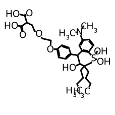 CCCCC1(CCCC)CS(O)(O)c2ccc(N(C)C)cc2C(c2ccc(OCCOCCC(C(=O)O)C(=O)O)cc2)C1O